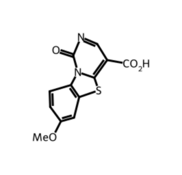 COc1ccc2c(c1)sc1c(C(=O)O)cnc(=O)n12